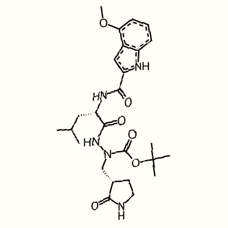 COc1cccc2[nH]c(C(=O)N[C@@H](CC(C)C)C(=O)NN(C[C@@H]3CCNC3=O)C(=O)OC(C)(C)C)cc12